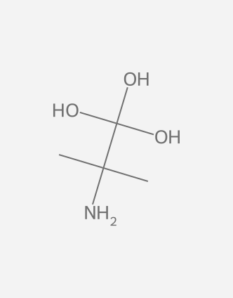 CC(C)(N)C(O)(O)O